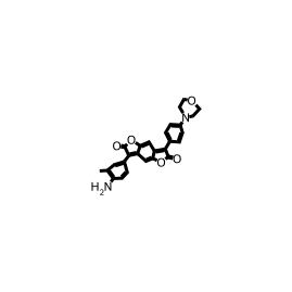 Cc1cc(C2=c3cc4c(cc3OC2=O)=C(c2ccc(N3CCOCC3)cc2)C(=O)O4)ccc1N